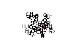 COc1ccc(C(OC[C@H]2O[C@@H](n3c(=O)[nH]c(=O)c4cc([N+](=O)[O-])ccc43)[C@H](O[Si](C)(C)C(C)(C)C)[C@@H]2OP(OCCC#N)N(C(C)C)C(C)C)(c2ccccc2)c2ccc(OC)cc2)cc1